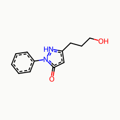 O=c1cc(CCCO)[nH]n1-c1ccccc1